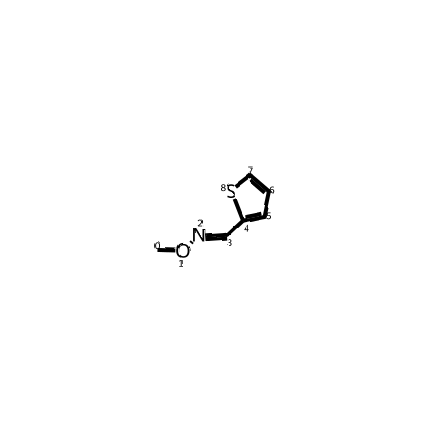 CO/N=C/c1cccs1